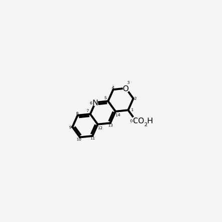 O=C(O)C1COCc2nc3ccccc3cc21